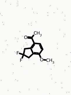 COc1ccc(C(C)=O)c2c1CC(F)(F)C2